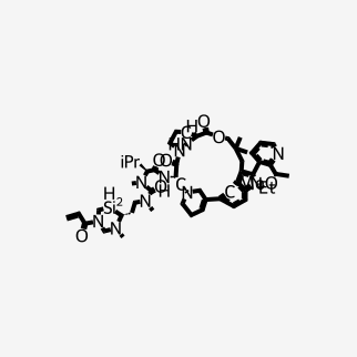 C=CC(=O)N1C[SiH2][C@H](CCN(C)C(=O)N(C)[C@H](C(=O)N[C@H]2CN3CCC=C(C3)c3ccc4c(c3)c(c(-c3cccnc3[C@H](C)OC)n4CC)CC(C)(C)COC(=O)[C@@H]3CCCN(N3)C2=O)C(C)C)N(C)C1